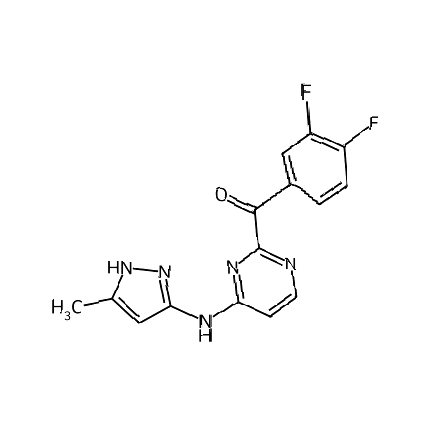 Cc1cc(Nc2ccnc(C(=O)c3ccc(F)c(F)c3)n2)n[nH]1